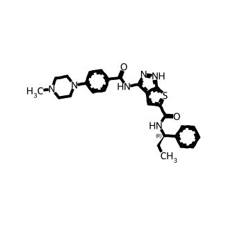 CC[C@@H](NC(=O)c1cc2c(NC(=O)c3ccc(N4CCN(C)CC4)cc3)n[nH]c2s1)c1ccccc1